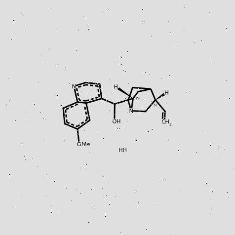 C=C[C@@H]1CN2CCC1C[C@H]2C(O)c1ccnc2ccc(OC)cc12.[HH]